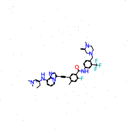 C=C1CN(Cc2ccc(NC(=O)c3cc(C#Cc4cnc5c(N/C(=C/N(C)C)CC)cccn45)c(C)cc3F)cc2C(F)(F)F)CCN1C